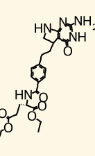 CCOC(=O)CC[C@H](NC(=O)c1ccc(CCC2CNc3nc(N)[nH]c(=O)c32)cc1)C(=O)OCC